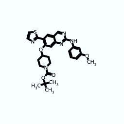 COc1cccc(Nc2ncc3cc(-c4nccs4)c(OC4CCN(C(=O)OC(C)(C)C)CC4)cc3n2)c1